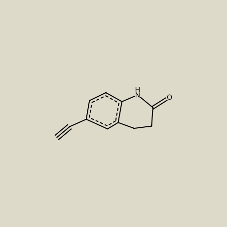 C#Cc1ccc2c(c1)CCC(=O)N2